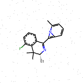 CC[C@H]1N=C(C2=C3C=CC=C(C)N32)c2cccc(F)c2C1(C)C